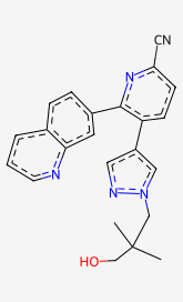 CC(C)(CO)Cn1cc(-c2ccc(C#N)nc2-c2ccc3cccnc3c2)cn1